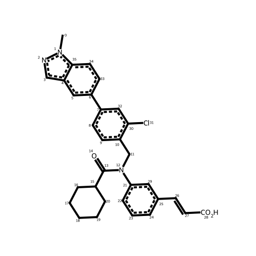 Cn1ncc2cc(-c3ccc(CN(C(=O)C4CCCCC4)c4cccc(/C=C/C(=O)O)c4)c(Cl)c3)ccc21